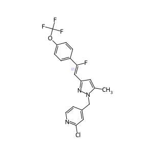 Cc1cc(/C=C(\F)c2ccc(OC(F)(F)F)cc2)nn1Cc1ccnc(Cl)c1